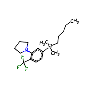 CCCCC[Si](C)(C)c1ccc(C(F)(F)F)c(N2CCCC2)c1